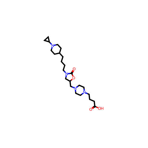 O=C(O)CCCN1CCN(CC2CN(CCCCC3CCN(C4CC4)CC3)C(=O)O2)CC1